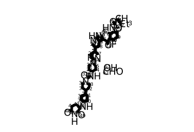 CCN(C)S(=O)(=O)Nc1ccc(F)c(C(=O)c2c[nH]c3ncc(-c4cnc(N5CCC(NC(=O)N6CCC(c7ccc(NC8CCC(=O)NC8=O)cc7)CC6)CC5)nc4)cc23)c1F.O=CO